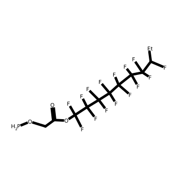 CCC(F)C(F)(F)C(F)(F)C(F)(F)C(F)(F)C(F)(F)C(F)(F)C(F)(F)OC(=O)COP